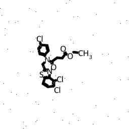 CCOC(=O)CCC(=O)N(Cc1nc2c(Cl)c(Cl)ccc2s1)c1ccc(Cl)cc1